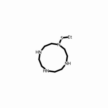 CCSN1CCNCCNCCNCC1